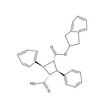 O=C(O)[C@@H]1[C@@H](c2ccccc2)[C@H](C(=O)OC2Cc3ccccc3C2)[C@H]1c1ccccc1